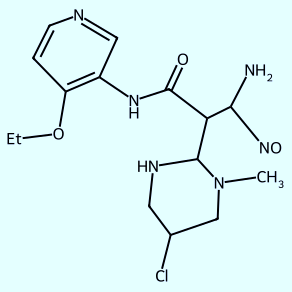 CCOc1ccncc1NC(=O)C(C(N)N=O)C1NCC(Cl)CN1C